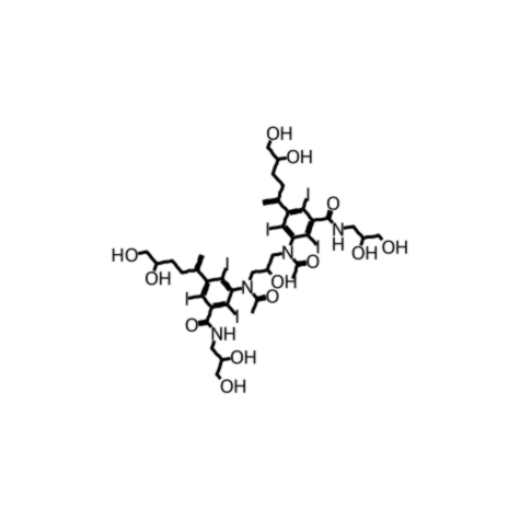 C=C(CCC(O)CO)c1c(I)c(C(=O)NCC(O)CO)c(I)c(N(CC(O)CN(C(C)=O)c2c(I)c(C(=C)CCC(O)CO)c(I)c(C(=O)NCC(O)CO)c2I)C(C)=O)c1I